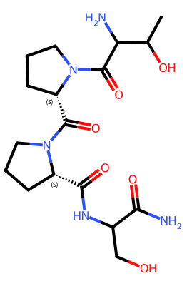 CC(O)C(N)C(=O)N1CCC[C@H]1C(=O)N1CCC[C@H]1C(=O)NC(CO)C(N)=O